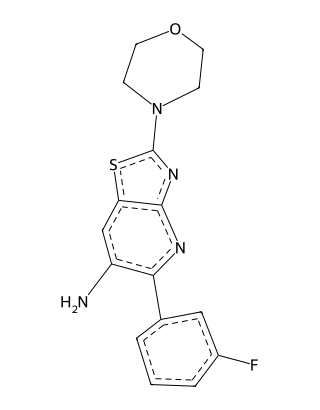 Nc1cc2sc(N3CCOCC3)nc2nc1-c1cccc(F)c1